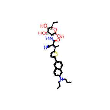 CCCN(CCC)c1ccc2cc(-c3ccc(/C(C)=C(\C#N)C(=O)N[C@H]4C(O)O[C@H](CC)[C@@H](O)[C@@H]4O)s3)ccc2c1